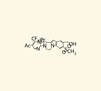 CC(=O)C1=C(C(F)(F)F)NC(N2CCn3c(cc4cc(CO)c(S(C)(=O)=O)cc43)C2C(C)C)N=C1